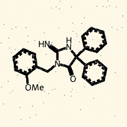 COc1ccccc1CN1C(=N)NC(c2ccccc2)(c2ccccc2)C1=O